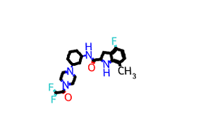 Cc1ccc(F)c2c1NC(C(=O)N[C@@H]1CCC[C@H](N3CCN(C(=O)C(F)F)CC3)C1)C2